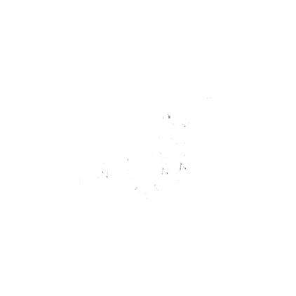 CN1CCCC(c2cccc(-n3cnc4cc(C(=O)OCC5CC5)ccc43)c2)C1